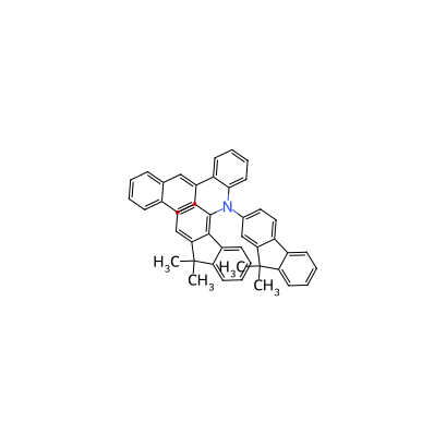 CC1(C)c2ccccc2-c2ccc(N(c3ccccc3-c3ccc4ccccc4c3)c3cccc4c3-c3ccccc3C4(C)C)cc21